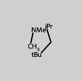 CC(C)CC(C)(C)C.CNC